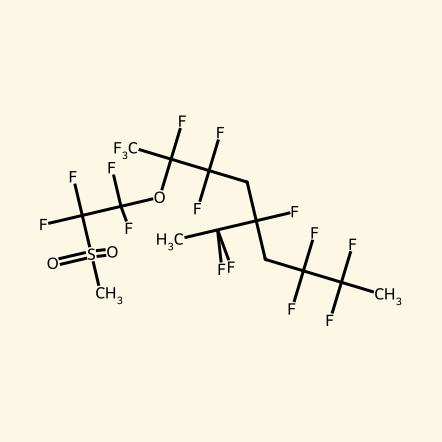 CC(F)(F)C(F)(F)CC(F)(CC(F)(F)C(F)(OC(F)(F)C(F)(F)S(C)(=O)=O)C(F)(F)F)C(C)(F)F